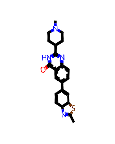 CC1=NC2C=CC(c3ccc4nc(C5CCN(C)CC5)[nH]c(=O)c4c3)=CC2S1